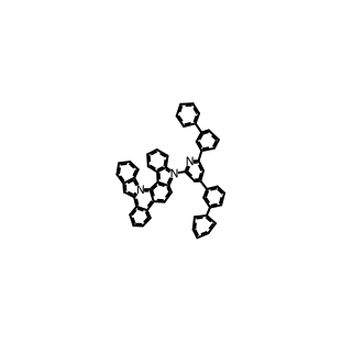 c1ccc(-c2cccc(-c3cc(-c4cccc(-c5ccccc5)c4)nc(-n4c5ccccc5c5c4ccc4c6ccccc6c6cc7ccccc7n6c45)c3)c2)cc1